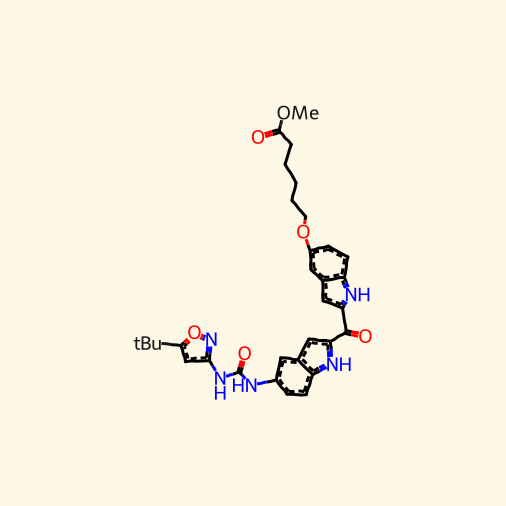 COC(=O)CCCCCOc1ccc2[nH]c(C(=O)c3cc4cc(NC(=O)Nc5cc(C(C)(C)C)on5)ccc4[nH]3)cc2c1